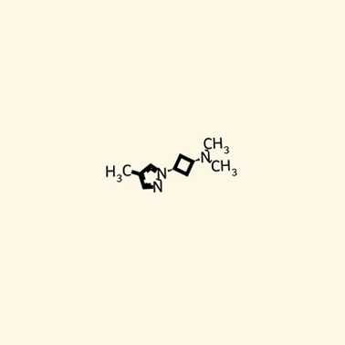 Cc1cnn([C@H]2C[C@@H](N(C)C)C2)c1